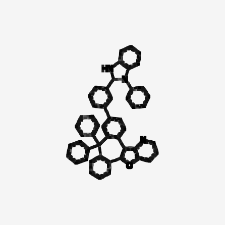 c1ccc(N2c3ccccc3NC2c2cccc(-c3ccc4c(c3)C(c3ccccc3)(c3ccccc3)c3ccccc3-c3oc5cccnc5c3-4)c2)cc1